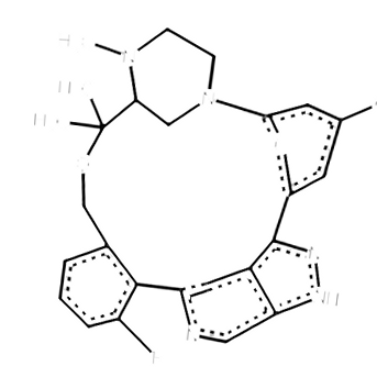 CN1CCN2CC1C(C)(C)OCc1cccc(F)c1-c1cc3c(n[nH]c3cn1)-c1cc(Cl)cc2c1